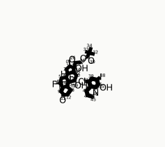 C[C@@H]1C[C@H]2[C@@H]3C[C@H](F)C4=CC(=O)C=C[C@]4(C)[C@@]3(F)[C@@H](O)C[C@]2(C)[C@@]1(O)C(=O)COC(=O)C(C)(C)C.Oc1c(I)cc(Cl)c2cccnc12